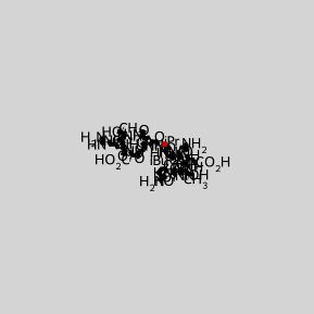 CC[C@H](C)[C@H](NC(=O)[C@@H](NC(=O)[C@H](CCC(N)=O)NC(=O)CNC(=O)[C@H](CC(=O)O)NC(=O)[C@H](CCCNC(=N)N)NC(=O)[C@@H](N)[C@@H](C)O)C(C)C)C(=O)N[C@@H](CC(N)=O)C(=O)N[C@@H](CCC(=O)O)C(=O)N[C@H](C(=O)N[C@@H](CO)C(=O)N[C@@H](CCC(N)=O)C(=O)O)[C@@H](C)O